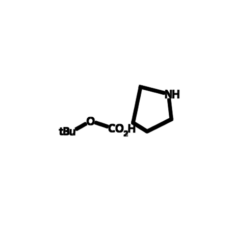 C1CCNC1.CC(C)(C)OC(=O)O